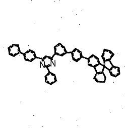 C1=CC2=C(CC1)C1(c3ccc(-c4ccc(-c5cccc(-c6cc(-c7ccc(-c8ccccc8)cc7)nc(-c7ccccc7)n6)c5)cc4)cc32)c2ccccc2-c2ccccc21